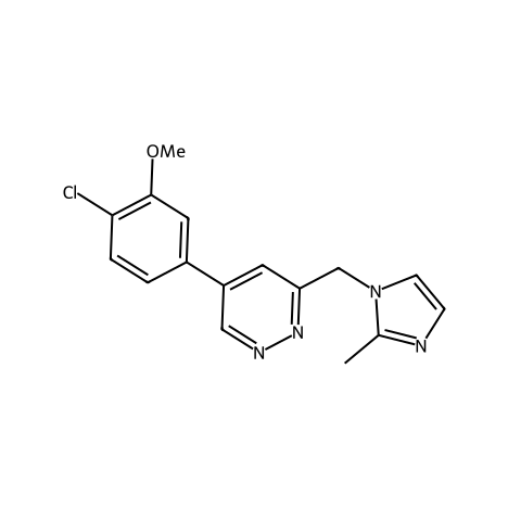 COc1cc(-c2cnnc(Cn3ccnc3C)c2)ccc1Cl